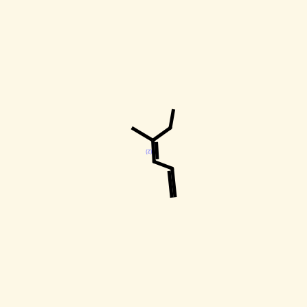 C=C/C=C(/C)CC